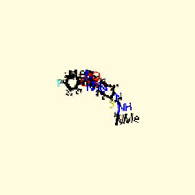 CNCNc1nc2c(s1)C1CN(C(=O)OC)CC(C2)N1c1nc(-c2ccc(F)cc2)no1